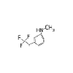 CNc1cccc([CH]C(F)(F)F)c1